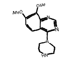 COc1ccc2c(N3CCNCC3)ncnc2c1OC